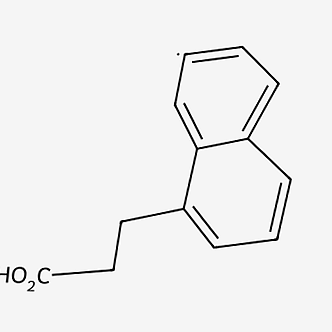 O=C(O)CCc1cccc2cc[c]cc12